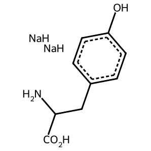 NC(Cc1ccc(O)cc1)C(=O)O.[NaH].[NaH]